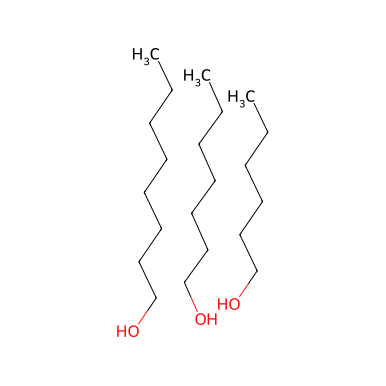 CCCCCCCCO.CCCCCCCO.CCCCCCO